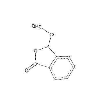 O=[C]OC1OC(=O)c2ccccc21